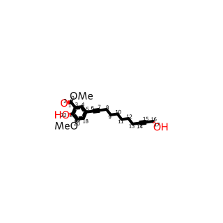 COC(=O)c1cc(C#CCCCCCCC#CCO)cc(OC)c1O